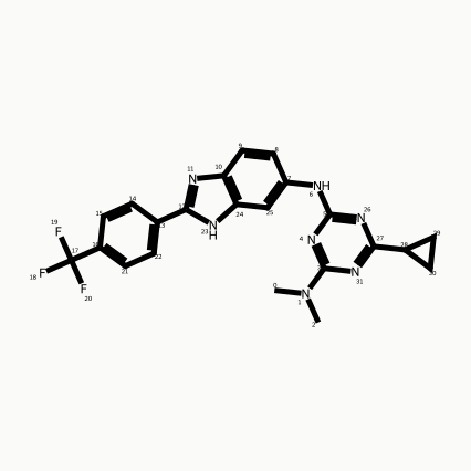 CN(C)c1nc(Nc2ccc3nc(-c4ccc(C(F)(F)F)cc4)[nH]c3c2)nc(C2CC2)n1